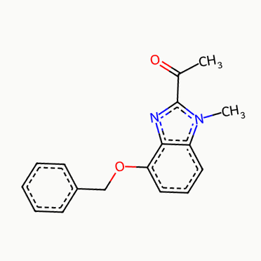 CC(=O)c1nc2c(OCc3ccccc3)cccc2n1C